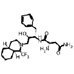 NC(=O)C[C@H](N)C(=O)N[C@@H](Cc1ccccc1)[C@H](O)CN1CC[C@@H]2CCCC[C@@H]2[C@@H]1C(F)(F)F